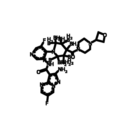 BC1(B)N(c2c(F)cncc2NC(=O)c2c(N)nn3cc(F)cnc23)C(B)(B)C(B)(B)C(B)(C(=O)N2CCN(C3COC3)CC2)C1(B)B